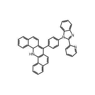 C1=Cc2ccccc2C2Nc3c(ccc4ccccc34)C(c3ccc(-n4c(-c5ccccn5)nc5ccccc54)cc3)=C12